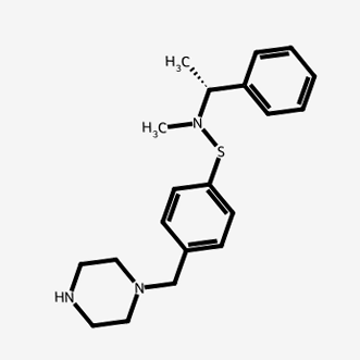 C[C@H](c1ccccc1)N(C)Sc1ccc(CN2CCNCC2)cc1